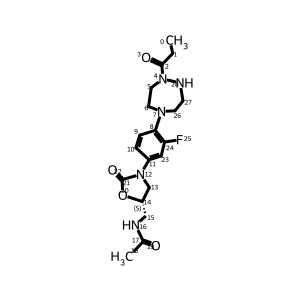 CCC(=O)N1CCN(c2ccc(N3C[C@H](CNC(C)=O)OC3=O)cc2F)CCN1